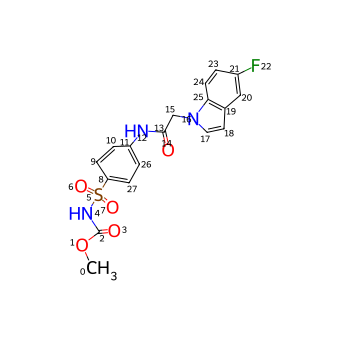 COC(=O)NS(=O)(=O)c1ccc(NC(=O)Cn2ccc3cc(F)ccc32)cc1